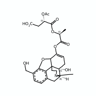 CC(=O)O[C@@H](CC(=O)O)C(=O)O[C@@H](C)C(=O)OC1=CC[C@@]2(O)[C@H]3Cc4ccc(CO)c5c4C2(CCN3C)C1O5